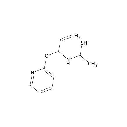 C=CC(NC(C)S)Oc1ccccn1